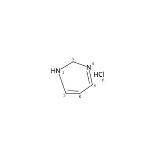 C1=CNCN=C1.Cl